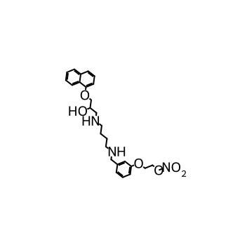 O=[N+]([O-])OCCOc1cccc(CNCCCCNCC(O)COc2cccc3ccccc23)c1